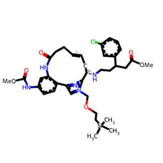 COC(=O)CC(CCN[C@H]1C/C=C/CCC(=O)Nc2cc(NC(=O)OC)ccc2-c2cn(COCC[Si](C)(C)C)c1n2)c1cccc(Cl)c1